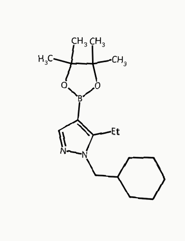 CCc1c(B2OC(C)(C)C(C)(C)O2)cnn1CC1CCCCC1